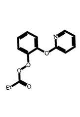 CCC(=O)OOc1ccccc1Oc1ccccn1